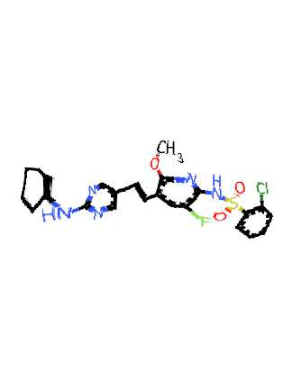 COc1nc(NS(=O)(=O)c2ccccc2Cl)c(F)cc1/C=C/c1cnc(NC2CCCCC2)nc1